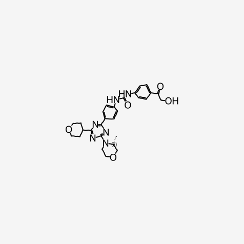 C[C@@H]1COCCN1c1nc(-c2ccc(NC(=O)Nc3ccc(C(=O)CO)cc3)cc2)nc(C2CCOCC2)n1